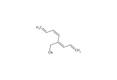 C=C/C=C\C(=C/C=C)CC#N